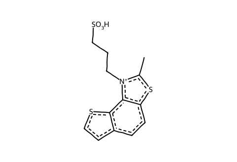 Cc1sc2ccc3ccsc3c2[n+]1CCCS(=O)(=O)O